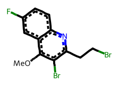 COc1c(Br)c(CCBr)nc2ccc(F)cc12